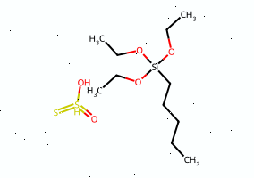 CCCCC[Si](OCC)(OCC)OCC.O=[SH](O)=S